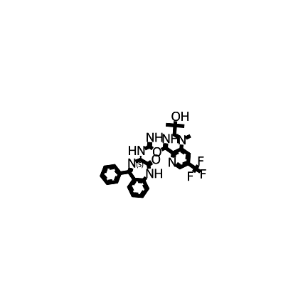 CN(CC(C)(C)O)c1cc(C(F)(F)F)cnc1C(=N)OC(=N)N[C@H]1N=C(c2ccccc2)c2ccccc2NC1=O